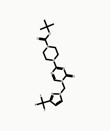 CC(C)(C)OC(=O)N1CCN(c2ncn(Cn3ccc(C(F)(F)F)n3)c(=O)n2)CC1